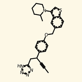 CC#CC(Cc1nnn[nH]1)c1ccc(OCc2ccc3scc(N4CCCCC4C)c3c2)cc1